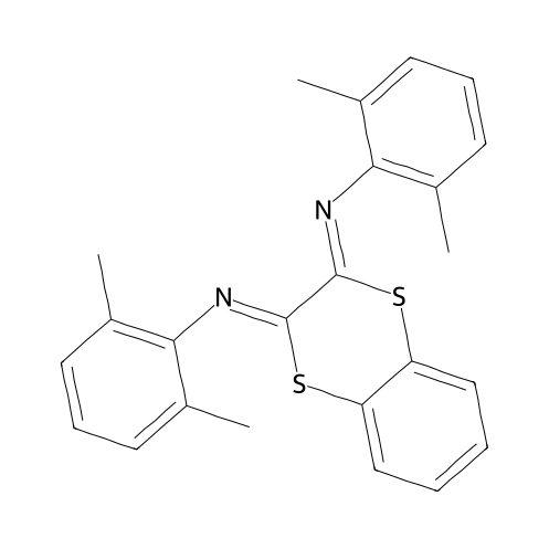 Cc1cccc(C)c1N=c1sc2ccccc2sc1=Nc1c(C)cccc1C